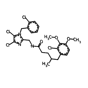 COc1ccc(CC(C)CCC(=O)[N]Cc2nc(Cl)c(Cl)n2Cc2ccccc2Cl)c(Cl)c1OC